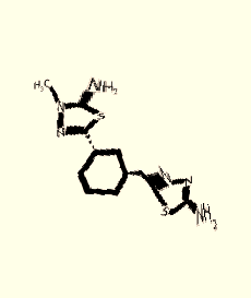 CN1N=C([C@H]2CCC[C@H](c3nnc(N)s3)C2)SC1N